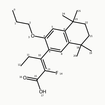 CCCOc1cc2c(cc1C(CC)=C(F)C(=O)O)C(C)(C)CCC2(C)C